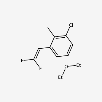 CCOCC.Cc1c(Cl)cccc1C=C(F)F